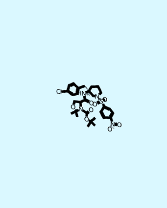 CC(C)(C)OC(=O)N1C(C(=O)N[C@@]2(Cc3ccc(Cl)cc3)CCCN(S(=O)(=O)c3ccc([N+](=O)[O-])cc3)C2)COC1(C)C